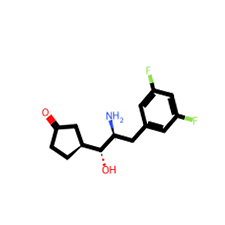 N[C@@H](Cc1cc(F)cc(F)c1)[C@H](O)[C@H]1CCC(=O)C1